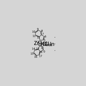 C1=C[CH]([Zr][CH]2C=Cc3ccccc32)c2ccccc21.Cl.Cl.[In]